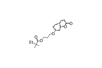 CCC(C)(C)C(=O)OCCCOc1ccc2ccc(=O)oc2c1